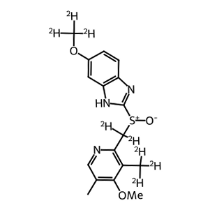 [2H]C([2H])([2H])Oc1ccc2nc([S+]([O-])C([2H])([2H])c3ncc(C)c(OC)c3C([2H])([2H])[2H])[nH]c2c1